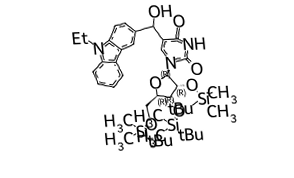 CCn1c2ccccc2c2cc(C(O)c3cn([C@@H]4O[C@H](CO[Si](C)(C)C(C)(C)C)[C@@H](O[Si](C)(C)C(C)(C)C)[C@H]4O[Si](C)(C)C(C)(C)C)c(=O)[nH]c3=O)ccc21